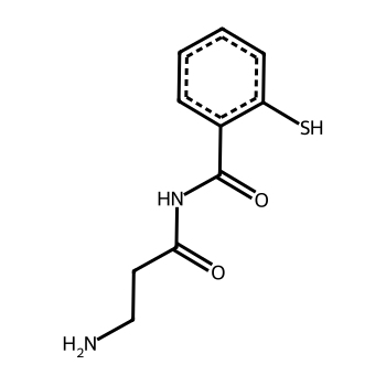 NCCC(=O)NC(=O)c1ccccc1S